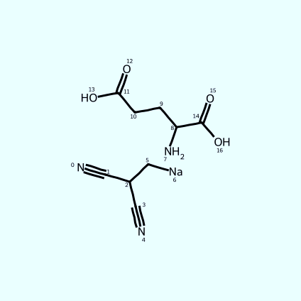 N#CC(C#N)[CH2][Na].NC(CCC(=O)O)C(=O)O